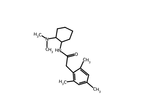 Cc1cc(C)c(CC(=O)NC2CCCCC2N(C)C)c(C)c1